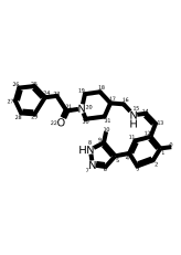 Cc1ccc(-c2cn[nH]c2C)cc1/C=C\NCC1CCN(C(=O)Cc2ccccc2)CC1